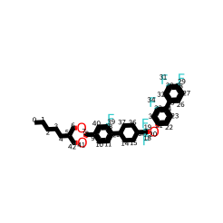 CCCCCC1COC(c2ccc(C3CCC(C(F)(F)Oc4ccc(-c5ccc(F)c(F)c5)c(F)c4)CC3)c(F)c2)OC1